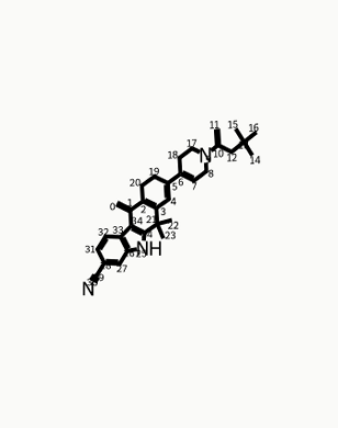 C=C1C2=C(C=C(C3=CCN(C(=C)CC(C)(C)C)CC3)CC2)C(C)(C)c2[nH]c3cc(C#N)ccc3c21